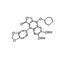 COc1cc2c(OC3CCCCC3)c3c(c(-c4ccc5c(c4)OCO5)c2cc1OC)C(=O)OC3